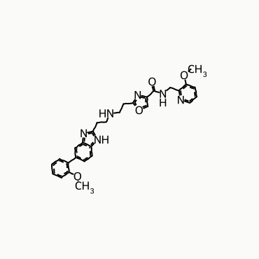 COc1ccccc1-c1ccc2[nH]c(CCNCCc3nc(C(=O)NCc4ncccc4OC)co3)nc2c1